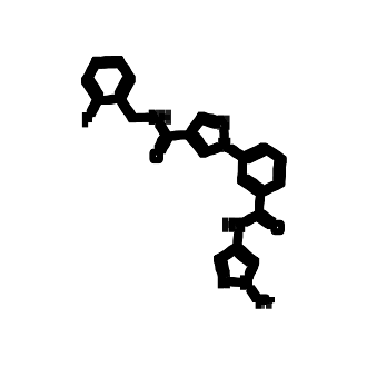 CC(C)n1cc(NC(=O)c2cccc(-n3cc(C(=O)NCc4ccccc4F)cn3)c2)cn1